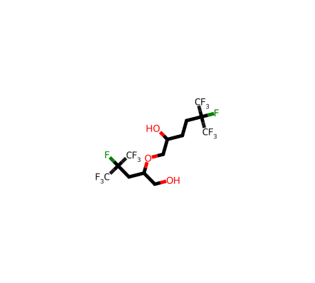 OCC(CC(F)(C(F)(F)F)C(F)(F)F)OCC(O)CCC(F)(C(F)(F)F)C(F)(F)F